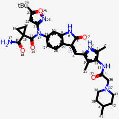 Cc1[nH]c(/C=C2\C(=O)Nc3cc(N(C(=O)C4(C(N)=O)CC4)c4cc(C(C)(C)C)on4)ccc32)c(C)c1NC(=O)CN1CCC(C)CC1